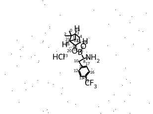 CC1(C)[C@@H]2C[C@H]3OB(C(N)Cc4ccc(C(F)(F)F)cc4)O[C@@]3(C)[C@H]1C2.Cl